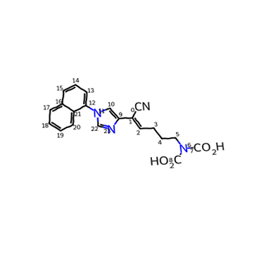 N#C/C(=C\CCCN(C(=O)O)C(=O)O)c1cn(-c2cccc3ccccc23)cn1